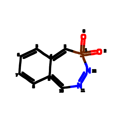 O=S1(=O)C=c2ccccc2=CN=N1